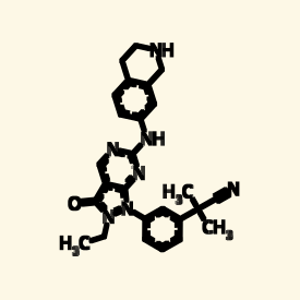 CCn1c(=O)c2cnc(Nc3ccc4c(c3)CNCC4)nc2n1-c1cccc(C(C)(C)C#N)c1